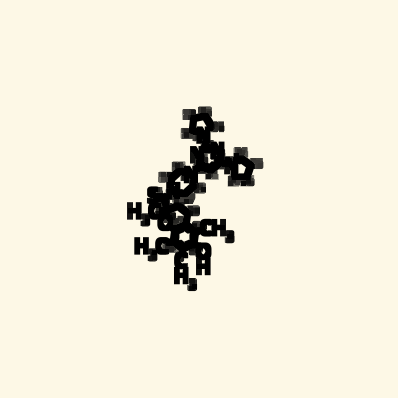 Cc1c(C)c2c(c(C)c1O)CCC(C)(C(=S)N1CCN(c3cc(N4CCCC4)nc(N4CCCC4)n3)CC1)O2